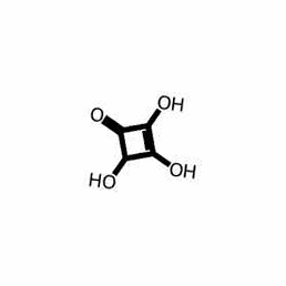 O=C1C(O)=C(O)C1O